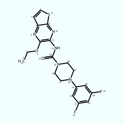 CCOc1nc2ccsc2nc1NC(=O)N1CCN(c2cc(F)cc(F)c2)CC1